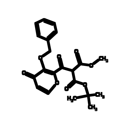 COC(=O)C(C(=O)OC(C)(C)C)C(=O)c1occc(=O)c1OCc1ccccc1